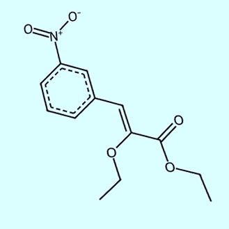 CCOC(=O)C(=Cc1cccc([N+](=O)[O-])c1)OCC